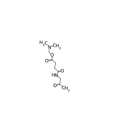 CC(=O)CNC(=O)CCC(=O)OCN(C)C